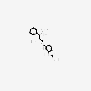 Nc1nc2ccc(NC(=O)[C@H](O)[C@@H](NC(=O)O)c3ccccc3)cc2[nH]1